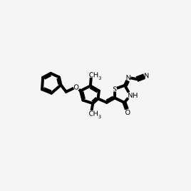 Cc1cc(OCc2ccccc2)c(C)cc1C=C1SC(=NC#N)NC1=O